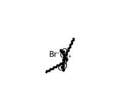 C=CC(=O)OC(CCCCCCCCCC)n1cc[n+](C(CCCCCCCCCC)OC(=O)C=C)c1.[Br-]